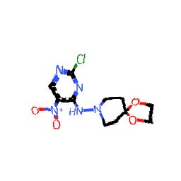 O=[N+]([O-])c1cnc(Cl)nc1NN1CCC2(CC1)OCCO2